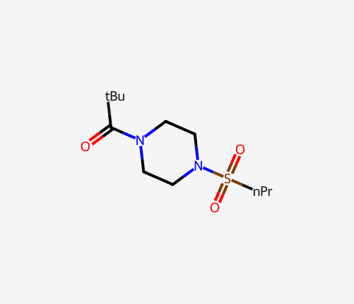 CCCS(=O)(=O)N1CCN(C(=O)C(C)(C)C)CC1